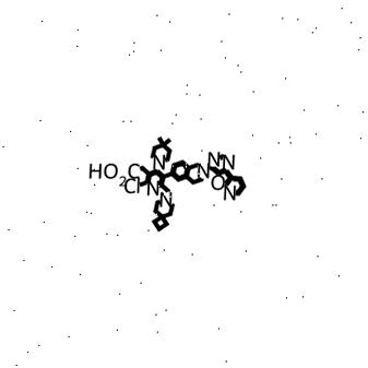 CC1(C)CCN(c2c(CC(=O)O)c(Cl)nc(CN3CCC4(CCC4)CC3)c2-c2ccc3c(c2)CCN(c2ncnc4c2oc2ncccc24)C3)CC1